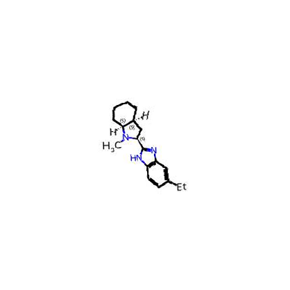 CCc1ccc2[nH]c([C@@H]3C[C@@H]4CCCC[C@@H]4N3C)nc2c1